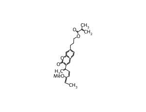 C=C(C)C(=O)OCCCc1ccc2cc(C(=C)/C=C\C(=C/C)OC)c(=O)oc2c1